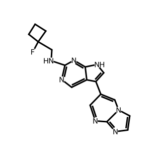 FC1(CNc2ncc3c(-c4cnc5nccn5c4)c[nH]c3n2)CCC1